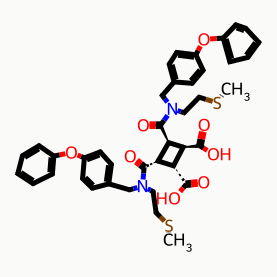 CSCCN(Cc1ccc(Oc2ccccc2)cc1)C(=O)[C@H]1[C@@H](C(=O)O)[C@H](C(=O)O)[C@@H]1C(=O)N(CCSC)Cc1ccc(Oc2ccccc2)cc1